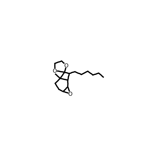 CCCCCCC1C2C3OC3CCC2(C)C12OCCO2